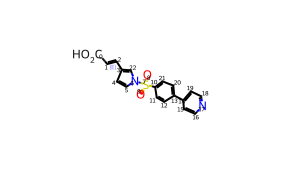 O=C(O)/C=C/c1ccn(S(=O)(=O)c2ccc(-c3ccncc3)cc2)c1